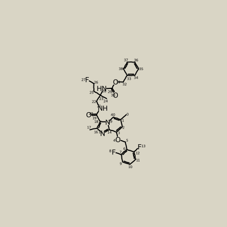 Cc1cc(OCc2c(F)cccc2F)c2nc(C)c(C(=O)NCC(C)(CCF)NC(=O)OCc3ccccc3)n2c1